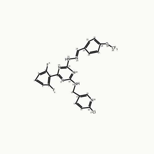 Fc1cccc(F)c1-c1nc(NCc2ccc(Cl)nc2)nc(NN=Cc2ccc(OC(F)(F)F)cc2)n1